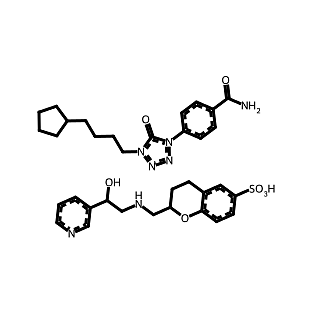 NC(=O)c1ccc(-n2nnn(CCCCC3CCCC3)c2=O)cc1.O=S(=O)(O)c1ccc2c(c1)CCC(CNCC(O)c1cccnc1)O2